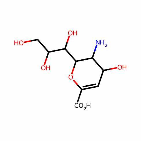 NC1C(O)C=C(C(=O)O)OC1C(O)C(O)CO